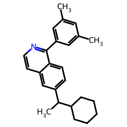 Cc1cc(C)cc(-c2nccc3cc(C(C)C4CCCCC4)ccc23)c1